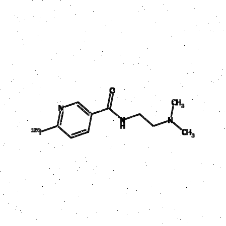 CN(C)CCNC(=O)c1ccc([124I])nc1